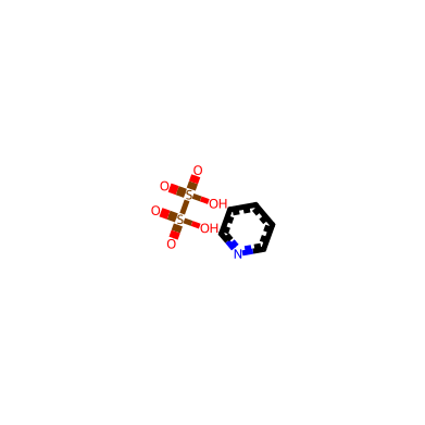 O=S(=O)(O)S(=O)(=O)O.c1ccncc1